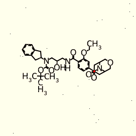 CCOc1cc(C(=O)N2C3COCC2CC(=O)C3)ccc1C(=O)NC[C@@H](O)CN(C(=O)OC(C)(C)C)C1Cc2ccccc2C1